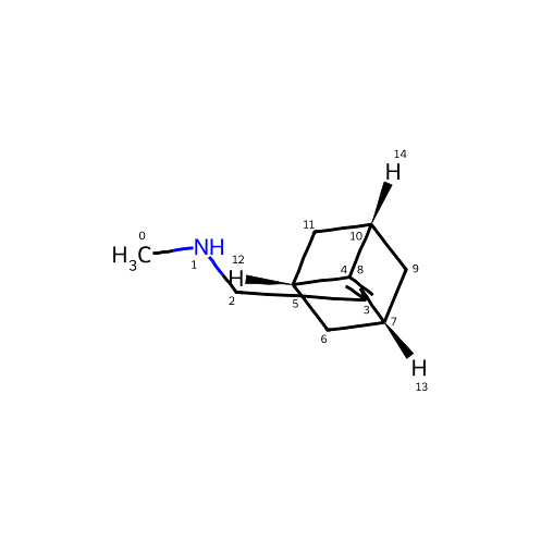 CNCC1=C2[C@@H]3C[C@H](C1)C[C@H]2C3